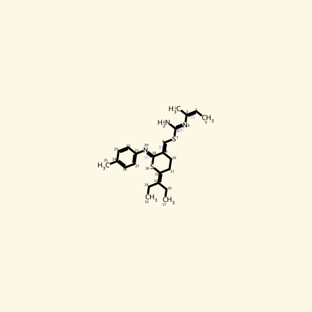 C/C=C(C)\N=C(/N)S/C=C1\CCC(=C(CC)CC)S\C1=N/c1ccc(C)cc1